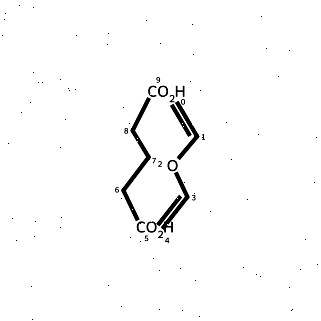 C=COC=C.O=C(O)CCCC(=O)O